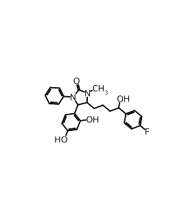 CN1C(=O)N(c2ccccc2)C(c2ccc(O)cc2O)C1CCCC(O)c1ccc(F)cc1